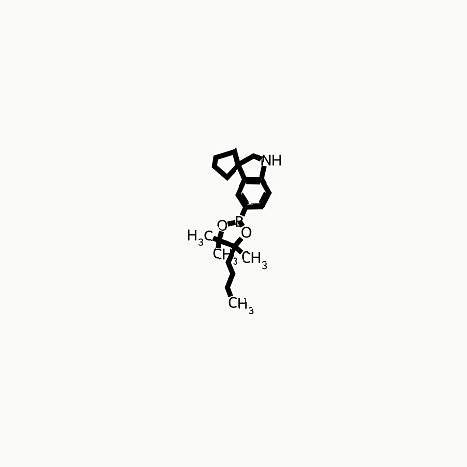 CCCCC1(C)OB(c2ccc3c(c2)C2(CCCC2)CN3)OC1(C)C